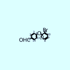 O=Cc1ccc(Oc2nc#ccc2Br)cc1